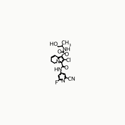 CC(CO)NS(=O)(=O)c1c(Cl)c(C(=O)Nc2cc(F)nc(C#N)c2)n2c1C=CCC2